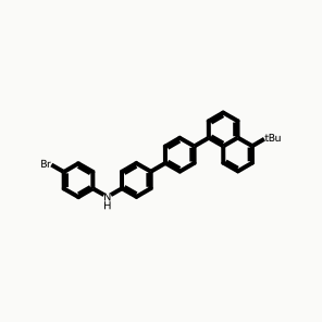 CC(C)(C)c1cccc2c(-c3ccc(-c4ccc(Nc5ccc(Br)cc5)cc4)cc3)cccc12